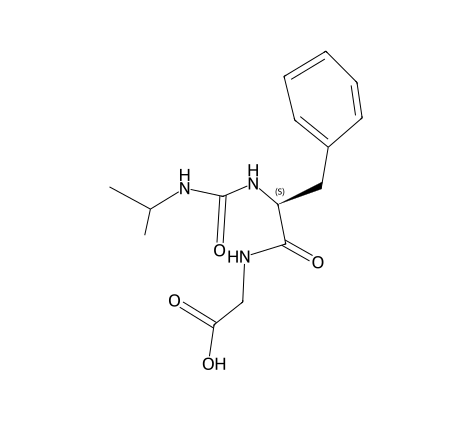 CC(C)NC(=O)N[C@@H](Cc1ccccc1)C(=O)NCC(=O)O